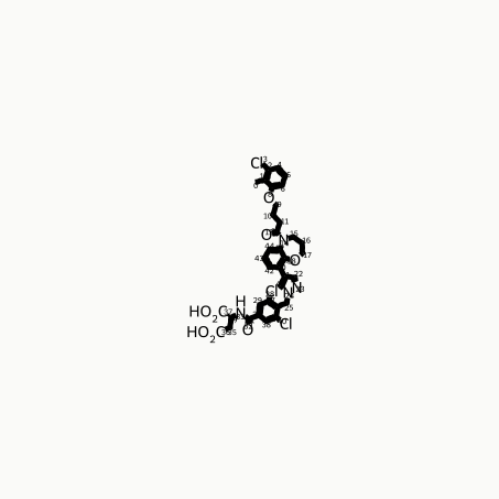 Cc1c(Cl)cccc1OCCCC(=O)N1CCCOc2c(-c3cnn(Cc4c(Cl)cc(C(=O)N[C@@H](CC(=O)O)C(=O)O)cc4Cl)c3)cccc21